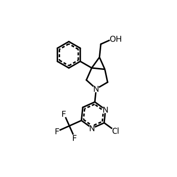 OCC1C2CN(c3cc(C(F)(F)F)nc(Cl)n3)CC12c1ccccc1